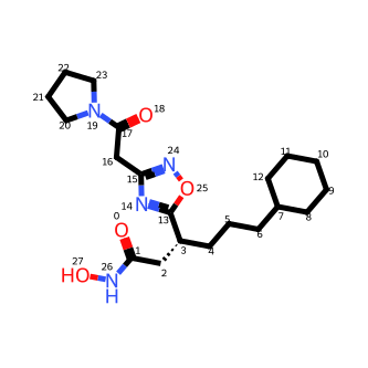 O=C(C[C@@H](CCCC1CCCCC1)c1nc(CC(=O)N2CCCC2)no1)NO